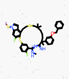 CN/C1=N\C(=N)C(C)(c2cccc(OCc3ccccc3)c2)CCCC(C)(C)CSCCc2c(c(F)cc3c2ccn3SI)Sc2ccc(F)c1c2